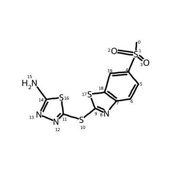 CS(=O)(=O)c1ccc2nc(Sc3nnc(N)s3)sc2c1